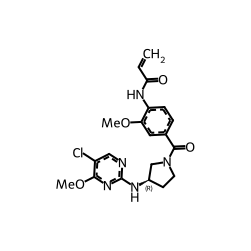 C=CC(=O)Nc1ccc(C(=O)N2CC[C@@H](Nc3ncc(Cl)c(OC)n3)C2)cc1OC